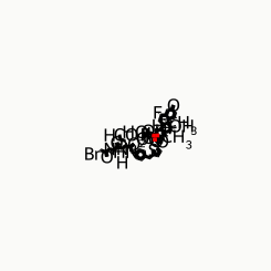 C[C@]12C=CC(=O)C=C1[C@@H](F)C[C@H]1[C@@H]3C[C@H]4O[C@@H](c5ccc(Cc6ccc(NC(=O)[C@H](CCC(=O)O)NC(=O)CNC(=O)CBr)cc6)s5)O[C@@]4(C(=O)COP(=O)(O)O)[C@@]3(C)C[C@H](O)[C@@]12F